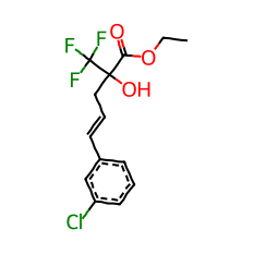 CCOC(=O)C(O)(CC=Cc1cccc(Cl)c1)C(F)(F)F